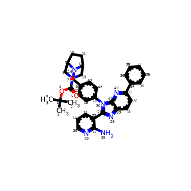 CC(C)(C)OC(=O)N1CC2CCC(C1)N2Cc1ccc(-n2c(-c3cccnc3N)nc3ccc(-c4ccccc4)nc32)cc1